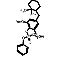 CCCC1(C)CCCCC1Cc1cc(OC)c(OP(=O)(OCC)Oc2ccccc2)c(OC)c1